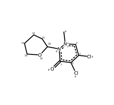 C[n+]1cc(Cl)c(Cl)c(=O)n1C1CCCCO1